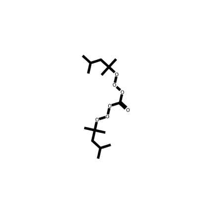 CC(C)CC(C)(C)OOOC(=O)OOOC(C)(C)CC(C)C